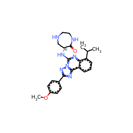 COc1ccc(-c2nc3c4cccc(C(C)C)c4nc(N[C@@H]4CNCCNC4=O)n3n2)cc1